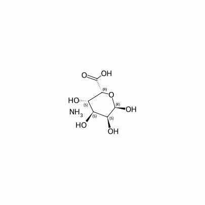 N.O=C(O)[C@@H]1O[C@@H](O)[C@@H](O)[C@@H](O)[C@@H]1O